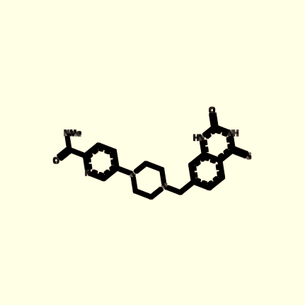 CNC(=O)c1ccc(N2CCN(Cc3ccc4c(=S)[nH]c(=O)[nH]c4c3)CC2)cn1